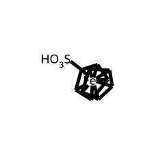 O=S(=O)(O)[C]12[CH]3[CH]4[CH]5[CH]1[Fe]45321678[CH]2[CH]1[CH]6[CH]7[CH]28